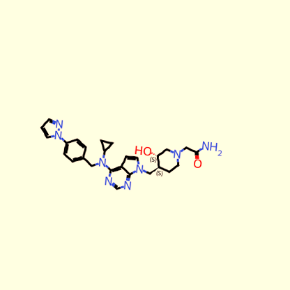 NC(=O)CN1CC[C@@H](Cn2ccc3c(N(Cc4ccc(-n5cccn5)cc4)C4CC4)ncnc32)[C@H](O)C1